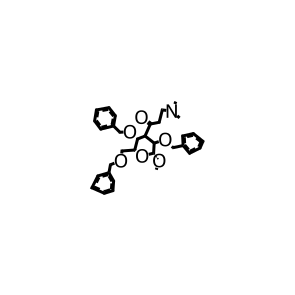 CO[C@@H]1OC(COCc2ccccc2)[C@H](OCc2ccccc2)C(C(=O)CCN(C)C)C1OCc1ccccc1